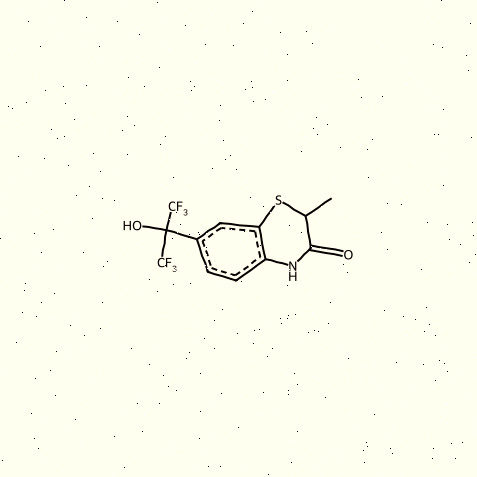 CC1Sc2cc(C(O)(C(F)(F)F)C(F)(F)F)ccc2NC1=O